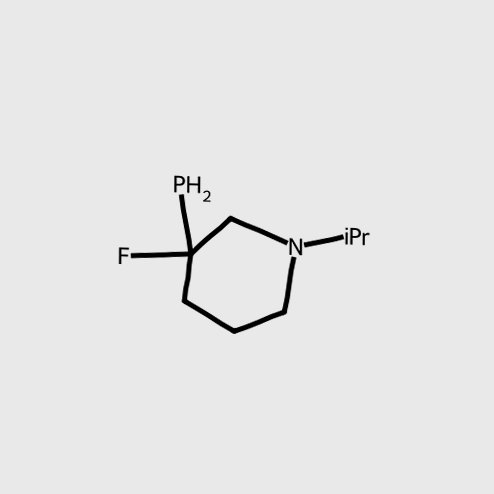 CC(C)N1CCCC(F)(P)C1